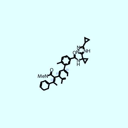 C=C(C)C(=C\C(=C/C)c1cc(C(=O)NC2(c3nnc(C4CC4)[nH]3)CC2)ccc1C)/C(C(=O)NC)=C(\C)C1=CC=CCC1